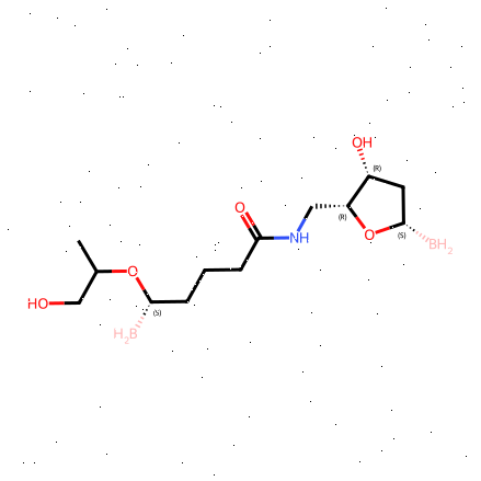 B[C@@H](CCCC(=O)NC[C@H]1O[C@@H](B)C[C@H]1O)OC(C)CO